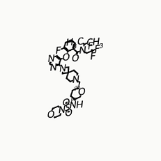 CC(C)N(CC(F)(F)F)C(=O)c1cccc(F)c1Oc1cncnc1N1CC2(CCN(C[C@@H]3CC[C@@H](NS(=O)(=O)N4CCOCC4)CO3)CC2)C1